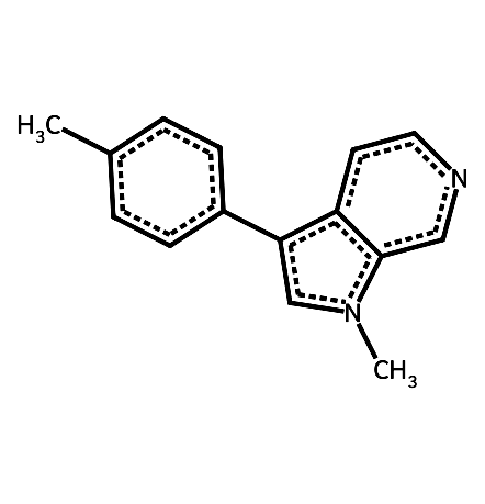 Cc1ccc(-c2cn(C)c3cnccc23)cc1